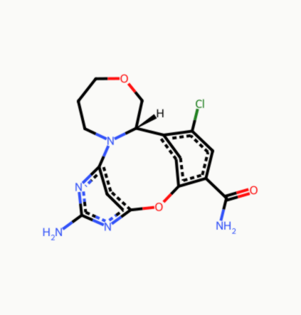 NC(=O)c1cc(Cl)c2cc1Oc1cc(nc(N)n1)N1CCCOC[C@H]21